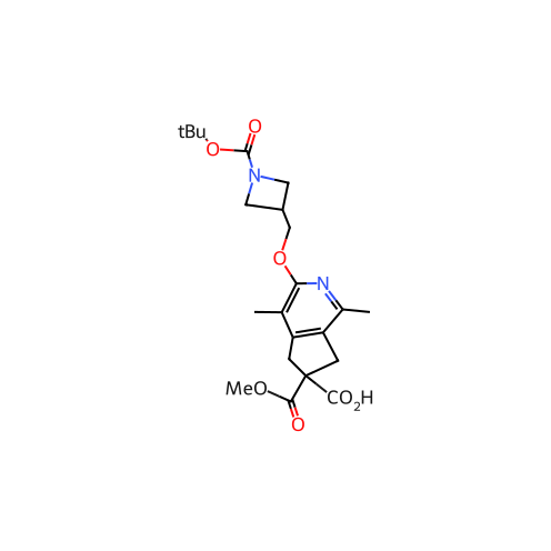 COC(=O)C1(C(=O)O)Cc2c(C)nc(OCC3CN(C(=O)OC(C)(C)C)C3)c(C)c2C1